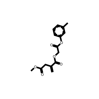 C=C(CC(=O)OC)C(=O)OCC(=O)Oc1cccc(C)c1